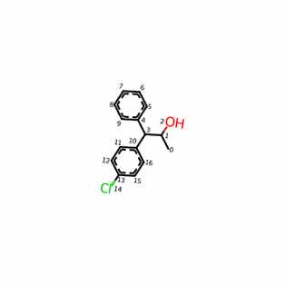 CC(O)C(c1ccccc1)c1ccc(Cl)cc1